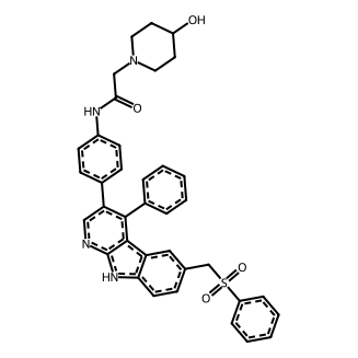 O=C(CN1CCC(O)CC1)Nc1ccc(-c2cnc3[nH]c4ccc(CS(=O)(=O)c5ccccc5)cc4c3c2-c2ccccc2)cc1